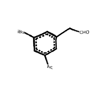 CCC(C)c1cc(CC=O)cc(C(C)=O)c1